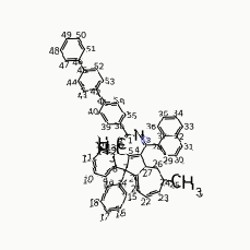 C=C(/N=C(\C1=C(C)C(c2ccccc2)(c2ccccc2)C2=CC=CC(C)CC21)c1cccc2ccccc12)c1ccc(-c2ccc(-c3ccccc3)cc2)cc1